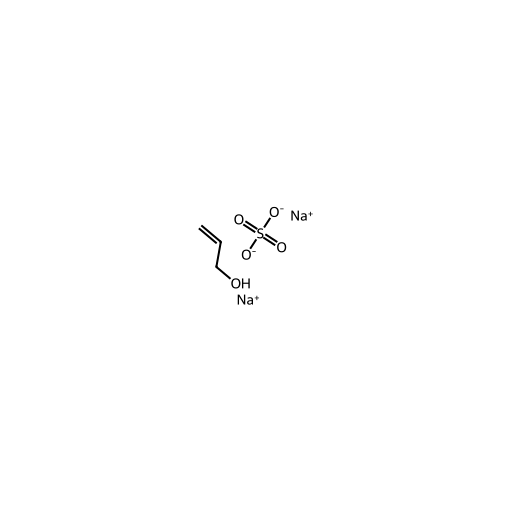 C=CCO.O=S(=O)([O-])[O-].[Na+].[Na+]